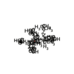 CC(C)(C)CCCCC[N+]1=C(/C=C/C2=C(Oc3ccc(S(=O)(=O)O)cc3)C(=C/C=C3/N(CCCCS(=O)(=O)O)c4ccc(S(=O)(=O)O)cc4C3(C)C)/CCC2)C(C)(C)c2cc(S(=O)(=O)O)ccc21